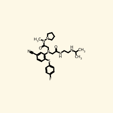 CC(C)NCCNC(=O)CN(CC(=O)N(C)N1CCCC1)c1cc(C#N)ccc1Sc1ccc(F)cc1